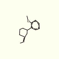 C[C]=C1CCCC(c2ccccc2OC)C1